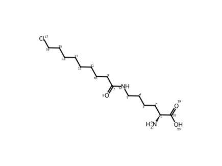 N[C@@H](CCCCNC(=O)CCCCCCCCCl)C(=O)O